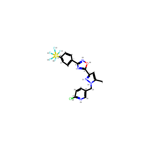 Cc1cc(-c2nc(-c3ccc(S(F)(F)(F)(F)F)cc3)no2)nn1Cc1ccc(Cl)nc1